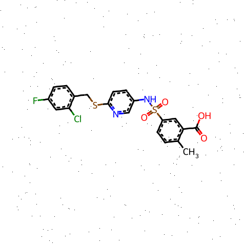 Cc1ccc(S(=O)(=O)Nc2ccc(SCc3ccc(F)cc3Cl)nc2)cc1C(=O)O